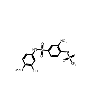 COc1ccc(NS(=O)(=O)c2ccc(NS(=O)(=O)C(F)(F)F)c([N+](=O)[O-])c2)cc1O